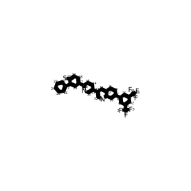 FC(F)(F)c1cc(-c2ccc3cc(-c4ccc(-c5ccc6sc7ccccc7c6c5)nc4)cnc3c2)cc(C(F)(F)F)c1